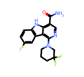 NC(=O)c1cnc(N2CCCC(F)(F)C2)c2c1[nH]c1ccc(F)cc12